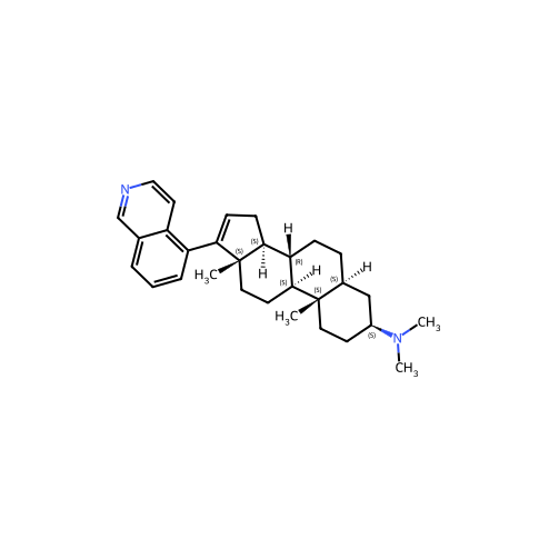 CN(C)[C@H]1CC[C@@]2(C)[C@@H](CC[C@@H]3[C@@H]2CC[C@]2(C)C(c4cccc5cnccc45)=CC[C@@H]32)C1